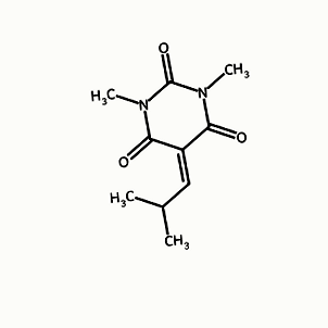 CC(C)C=C1C(=O)N(C)C(=O)N(C)C1=O